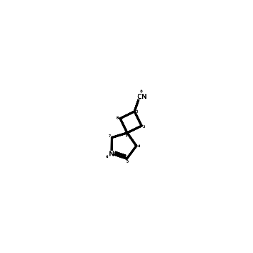 N#CC1CC2(CC=NC2)C1